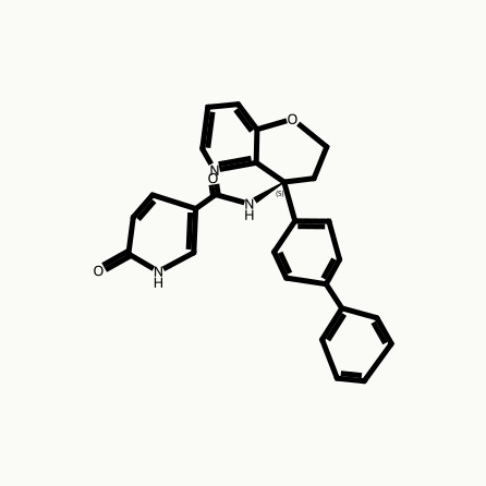 O=C(N[C@]1(c2ccc(-c3ccccc3)cc2)CCOc2cccnc21)c1ccc(=O)[nH]c1